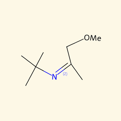 COC/C(C)=N\C(C)(C)C